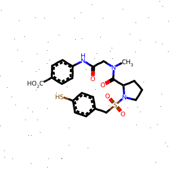 CN(CC(=O)Nc1ccc(C(=O)O)cc1)C(=O)C1CCCN1S(=O)(=O)Cc1ccc(S)cc1